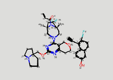 C#Cc1c(F)ccc2cc(O)cc([C@@H]3Cc4nc(OCC56CCCN5CCC6)nc(N5C[C@@H]6CC(F)(F)[C@H](C5)N6C(=O)C=C)c4CO3)c12